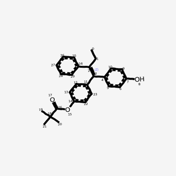 CC/C(=C(\c1ccc(O)cc1)c1ccc(OC(=O)C(C)(C)C)cc1)c1ccccc1